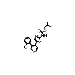 CC(C)COC(=O)Nc1ncc(-c2ccncc2-c2ccccc2Cl)s1